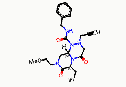 C#CCN1CC(=O)N2[C@@H](CC(C)C)C(=O)N(CCOC)C[C@@H]2N1C(=O)NCc1ccccc1